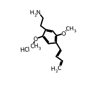 C=CC=Cc1cc(OC)c(CCN)cc1OC.Cl